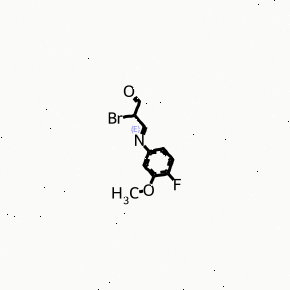 COc1cc(/N=C/C(Br)C=O)ccc1F